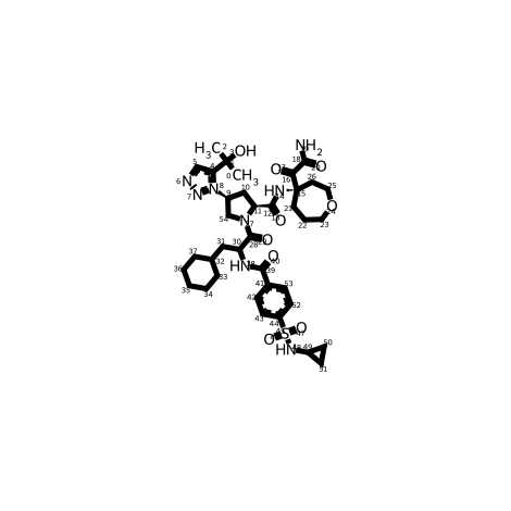 CC(C)(O)c1cnnn1[C@H]1C[C@@H](C(=O)N[C@@]2(C(=O)C(N)=O)CCCOCC2)N(C(=O)C(CC2CCCCC2)NC(=O)c2ccc(S(=O)(=O)NC3CC3)cc2)C1